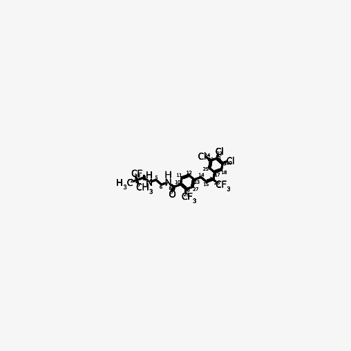 CC(C)(CNCCNC(=O)c1ccc(C/C=C(\c2cc(Cl)c(Cl)c(Cl)c2)C(F)(F)F)cc1C(F)(F)F)C(F)(F)F